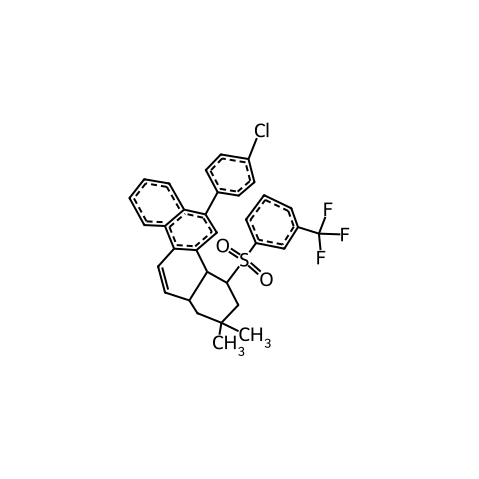 CC1(C)CC2C=Cc3c(cc(-c4ccc(Cl)cc4)c4ccccc34)C2C(S(=O)(=O)c2cccc(C(F)(F)F)c2)C1